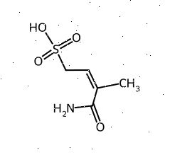 CC(=CCS(=O)(=O)O)C(N)=O